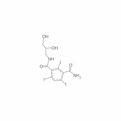 NC(=O)c1c(I)cc(I)c(C(=O)NCC(O)CO)c1I